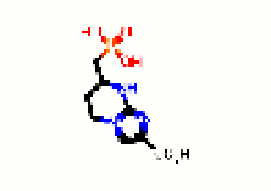 O=C(O)c1cn2c(n1)NC(CP(=O)(O)O)CC2